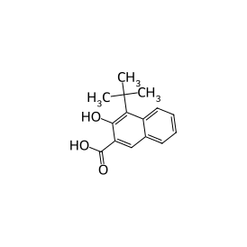 CC(C)(C)c1c(O)c(C(=O)O)cc2ccccc12